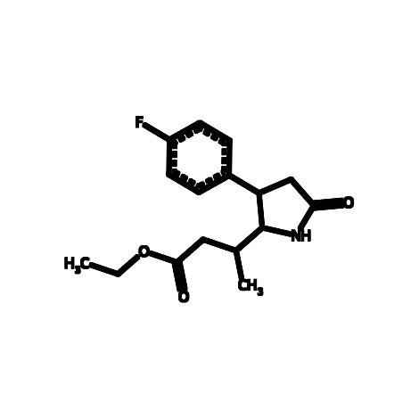 CCOC(=O)CC(C)C1NC(=O)CC1c1ccc(F)cc1